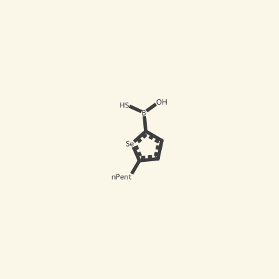 CCCCCc1ccc(B(O)S)[se]1